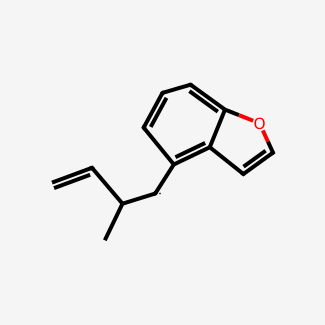 C=CC(C)[CH]c1cccc2occc12